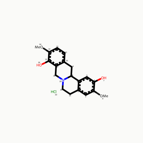 COc1cc2c(cc1O)C1Cc3ccc(OC)c(O)c3CN1CC2.Cl